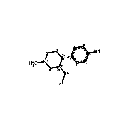 CN1CC[C@H](c2ccc(Cl)cc2)[C@@H](CI)C1